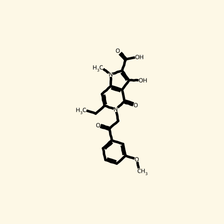 CCc1cc2c(c(O)c(C(=O)O)n2C)c(=O)n1CC(=O)c1cccc(OC)c1